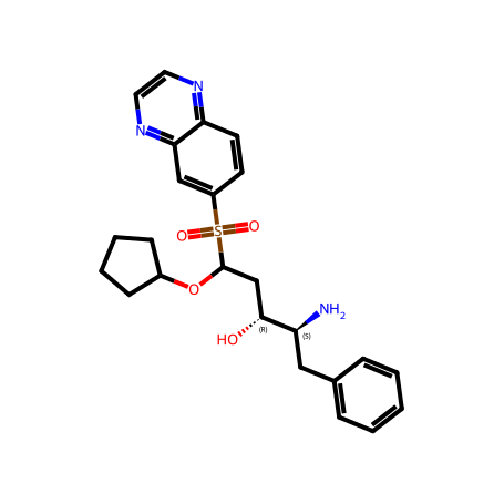 N[C@@H](Cc1ccccc1)[C@H](O)CC(OC1CCCC1)S(=O)(=O)c1ccc2nccnc2c1